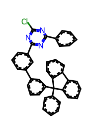 Clc1nc(-c2ccccc2)nc(-c2cccc(-c3cccc(C4(c5ccccc5)c5ccccc5-c5ccccc54)c3)c2)n1